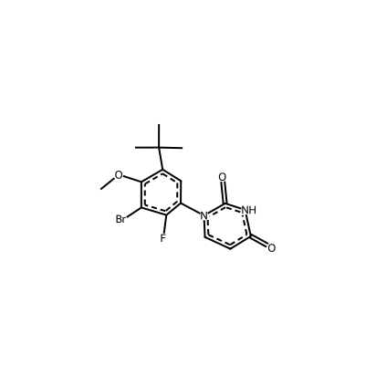 COc1c(C(C)(C)C)cc(-n2ccc(=O)[nH]c2=O)c(F)c1Br